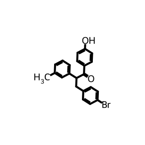 Cc1cccc(C(Cc2ccc(Br)cc2)C(=O)c2ccc(O)cc2)c1